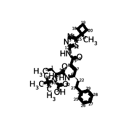 CC[C@@H](C(=O)N[C@H](C=CC(=O)Nc1nnc(C2(C)CCC2)s1)CCc1ccccc1)N(C(=O)O)C(C)(C)C